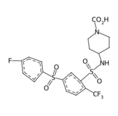 O=C(O)N1CCC(NS(=O)(=O)c2cc(S(=O)(=O)c3ccc(F)cc3)ccc2C(F)(F)F)CC1